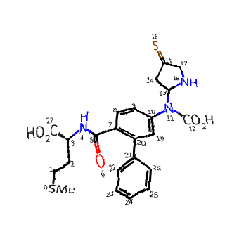 CSCC[C@H](NC(=O)c1ccc(N(C(=O)O)C2CC(=S)CN2)cc1-c1ccccc1)C(=O)O